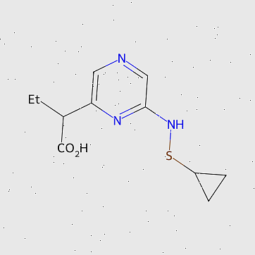 CCC(C(=O)O)c1cncc(NSC2CC2)n1